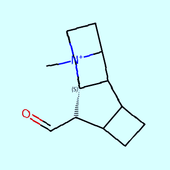 C[N+]12C3CC1[C@]21C(C=O)C2CCC2C31